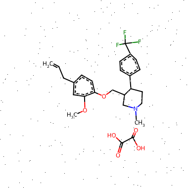 C=CCc1ccc(OCC2CN(C)CCC2c2ccc(C(F)(F)F)cc2)c(OC)c1.O=C(O)C(=O)O